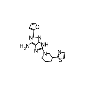 Nc1nc(-c2ccco2)nc2[nH]c(N3CCCC(c4nccs4)C3)nc12